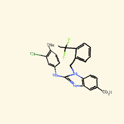 COc1ccc(Nc2nc3cc(C(=O)O)ccc3n2Cc2ccccc2C(C)(F)F)cc1Cl